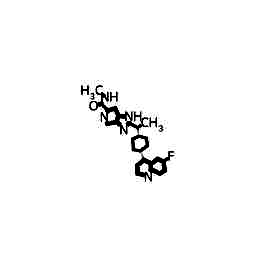 CNC(=O)c1cc2[nH]c(C(C)[C@H]3CC[C@@H](c4ccnc5ccc(F)cc54)CC3)nc2cn1